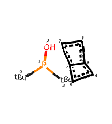 CC(C)(C)P(O)C(C)(C)C.c1cc2ccc1-2